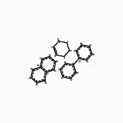 C1=CSCCC1.c1ccc(-c2ccccc2)cc1.c1ccc2ncccc2c1